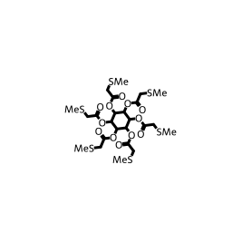 CSCC(=O)OC1C(OC(=O)CSC)C(OC(=O)CSC)C(OC(=O)CSC)C(OC(=O)CSC)C1OC(=O)CSC